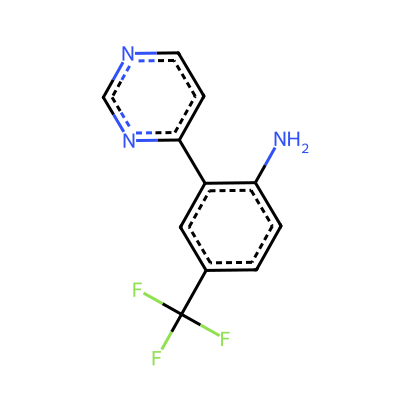 Nc1ccc(C(F)(F)F)cc1-c1ccncn1